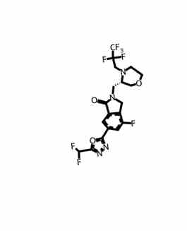 O=C1c2cc(-c3nnc(C(F)F)o3)cc(F)c2CN1C[C@H]1COCCN1CC(F)(F)C(F)(F)F